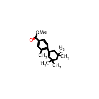 COC(=O)c1ccc(C2=CC(C)(C)CC(C)(C)C2)c(C)c1